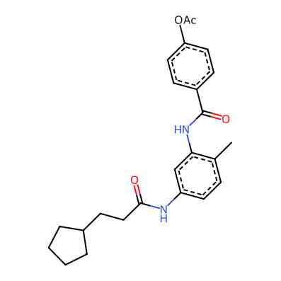 CC(=O)Oc1ccc(C(=O)Nc2cc(NC(=O)CCC3CCCC3)ccc2C)cc1